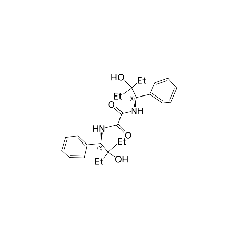 CCC(O)(CC)[C@H](NC(=O)C(=O)N[C@H](c1ccccc1)C(O)(CC)CC)c1ccccc1